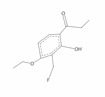 CCOc1ccc(C(=O)CC)c(O)c1CF